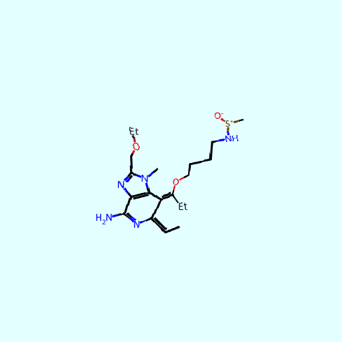 C/C=c1/nc(N)c2nc(COCC)n(C)c2/c1=C(/CC)OCCCCN[S+](C)[O-]